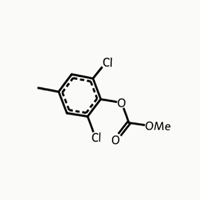 COC(=O)Oc1c(Cl)cc(C)cc1Cl